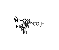 CCOc1nn(CC)cc1S(=O)(=O)N1C[C@H](CCC(=O)O)Oc2ccc(CCc3nccs3)cc21